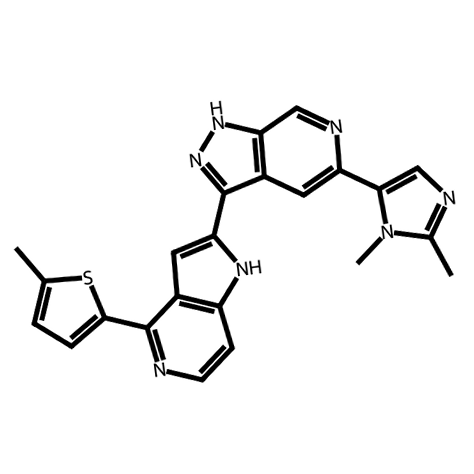 Cc1ccc(-c2nccc3[nH]c(-c4n[nH]c5cnc(-c6cnc(C)n6C)cc45)cc23)s1